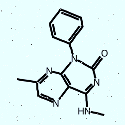 CNc1nc(=O)n(-c2ccccc2)c2nc(C)cnc12